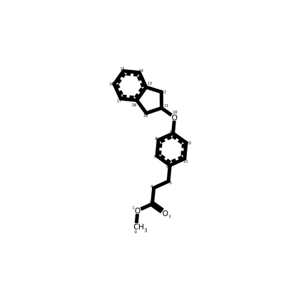 COC(=O)CCc1ccc(OC2Cc3ccccc3C2)cc1